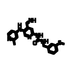 CSc1cccc(CNC(=O)Nc2cc(C=N)c(Nc3ccnc(C)c3)cn2)c1